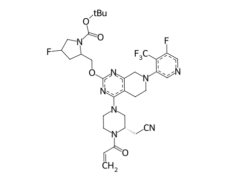 C=CC(=O)N1CCN(c2nc(OCC3CC(F)CN3C(=O)OC(C)(C)C)nc3c2CCN(c2cncc(F)c2C(F)(F)F)C3)C[C@@H]1CC#N